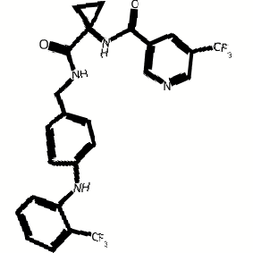 O=C(NC1(C(=O)NCc2ccc(Nc3ccccc3C(F)(F)F)cc2)CC1)c1cncc(C(F)(F)F)c1